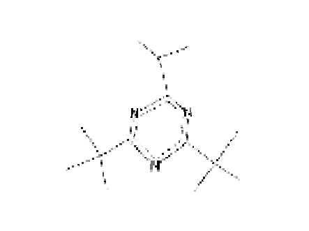 CC(C)c1nc(C(C)(C)C)nc(C(C)(C)C)n1